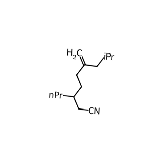 C=C(CCC(CC#N)CCC)CC(C)C